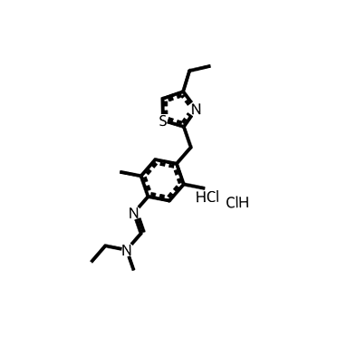 CCc1csc(Cc2cc(C)c(/N=C/N(C)CC)cc2C)n1.Cl.Cl